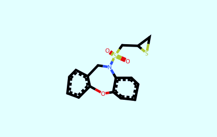 O=S(=O)(CC1CS1)N1Cc2ccccc2Oc2ccccc21